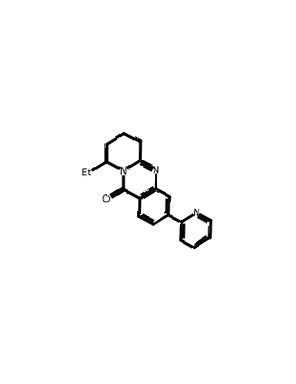 CCC1CCCc2nc3cc(-c4ccccn4)ccc3c(=O)n21